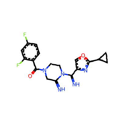 N=C1CN(C(=O)c2ccc(F)cc2F)CCN1C(=N)c1coc(C2CC2)n1